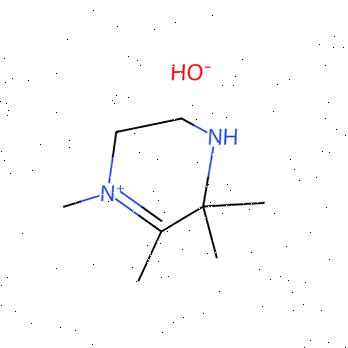 CC1=[N+](C)CCNC1(C)C.[OH-]